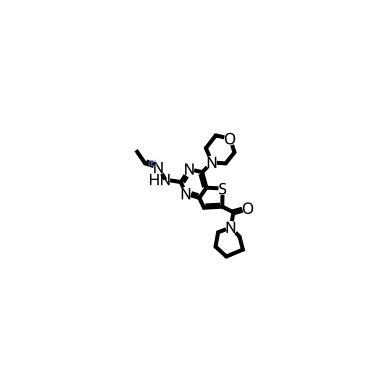 C/C=N/Nc1nc(N2CCOCC2)c2sc(C(=O)N3CCCCC3)cc2n1